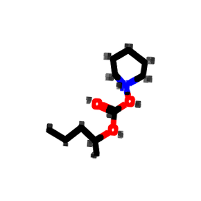 CCCC(C)OC(=O)ON1CCCCC1